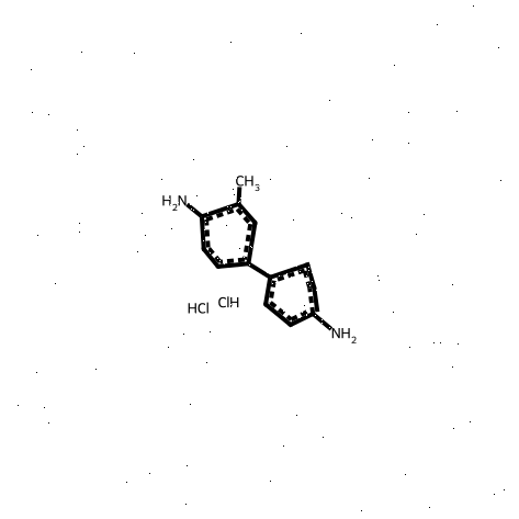 Cc1cc(-c2ccc(N)cc2)ccc1N.Cl.Cl